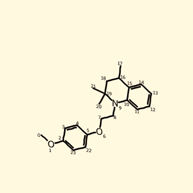 COc1ccc(OCCN2c3ccccc3C(C)CC2(C)C)cc1